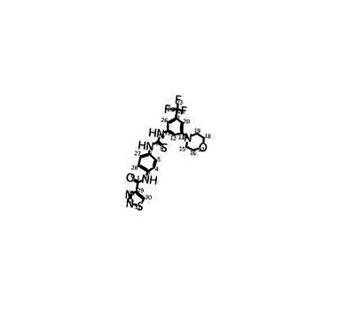 O=C(Nc1ccc(NC(=S)Nc2cc(N3CCOCC3)cc(C(F)(F)F)c2)cc1)c1csnn1